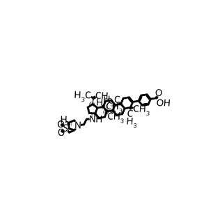 C=C(C)[C@@H]1CC[C@]2(NCCN3C[C@@H]4CC3CS4(=O)=O)CC[C@]3(C)[C@H](CCC4[C@@]5(C)CC=C(c6ccc(C(=O)O)cc6)C(C)(C)C5CC[C@]43C)C12